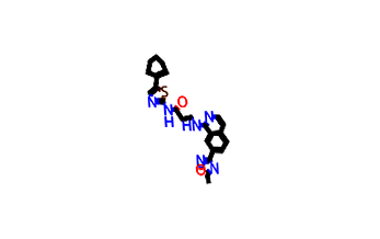 Cc1nc(-c2ccc3ccnc(NCCC(=O)Nc4ncc(C5=CCCCC5)s4)c3c2)no1